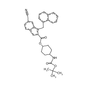 CC(C)(C)OC(=O)NC1CCC(OC(=O)c2cc3ccc(C#N)cc3n2Cc2cccc3ccccc23)CC1